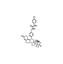 C[C@]12C[C@H](c3ccc(CNC(=O)Nc4ccc(Cl)cc4)cc3)C3=C4CCC(=O)C=C4CCC3C1CC[C@@]2(O)C(F)(F)C(F)(F)F